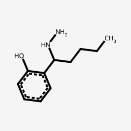 CCCCC(NN)c1ccccc1O